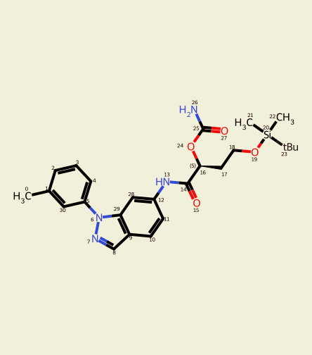 Cc1cccc(-n2ncc3ccc(NC(=O)[C@H](CCO[Si](C)(C)C(C)(C)C)OC(N)=O)cc32)c1